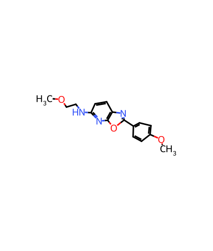 COCCNc1ccc2nc(-c3ccc(OC)cc3)oc2n1